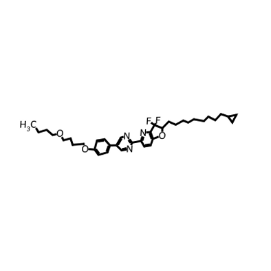 CCCCOCCCCOc1ccc(-c2cnc(-c3ccc4c(n3)C(F)(F)C(CCCCCCCCCC3CC3)O4)nc2)cc1